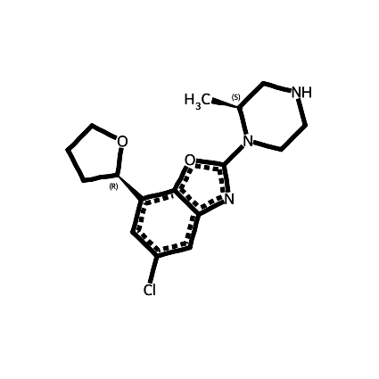 C[C@H]1CNCCN1c1nc2cc(Cl)cc([C@H]3CCCO3)c2o1